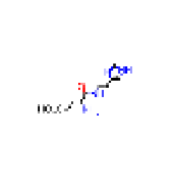 NC(CCC(=O)O)C(=O)NCCc1c[nH]cn1